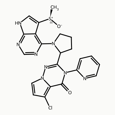 C[S@@+]([O-])c1c[nH]c2ncnc(N3CCCC3c3nn4ccc(Cl)c4c(=O)n3-c3ccccn3)c12